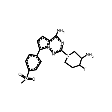 CS(=O)(=O)c1ccc(-c2ccc3c(N)nc(N4CCC(F)C(N)C4)nn23)cc1